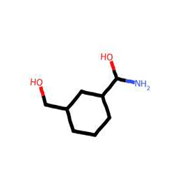 NC(O)C1CCCC(CO)C1